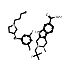 COC(=O)c1ccc2c3c([nH]c2c1)[C@@H](c1c(F)cc(N[C@H]2CCN(CCCF)C2)cc1F)N(CC(C)(F)F)[C@H](C)C3